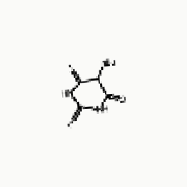 CCCCC1C(=O)NC(=O)NC1=S